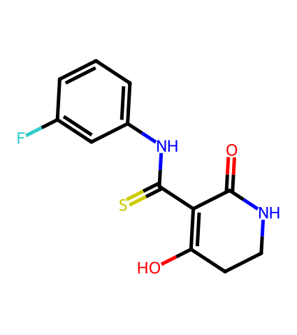 O=C1NCCC(O)=C1C(=S)Nc1cccc(F)c1